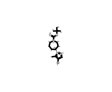 Cc1c(Br)cnn1[C@@H]1CCCN(C(=O)OC(C)(C)C)CC1